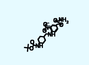 CC(C)(C)OC(=O)NC1CCC(CNc2ccc(S(N)(=O)=O)cc2[N+](=O)[O-])CC1